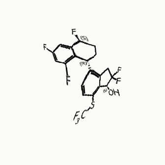 O[C@H]1c2c(SC(F)(F)F)ccc([C@H]3CC[C@H](F)c4cc(F)cc(F)c43)c2CC1(F)F